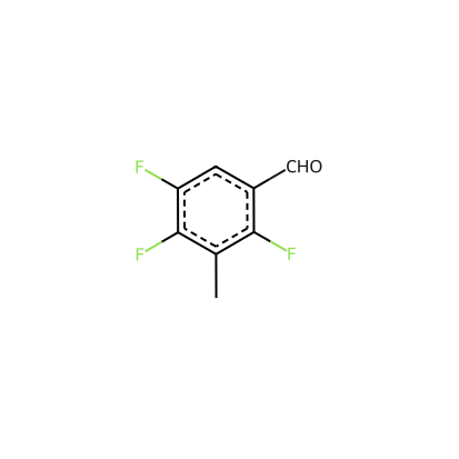 Cc1c(F)c(F)cc(C=O)c1F